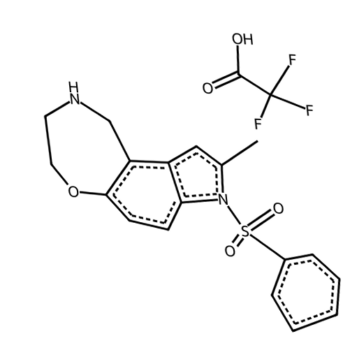 Cc1cc2c3c(ccc2n1S(=O)(=O)c1ccccc1)OCCNC3.O=C(O)C(F)(F)F